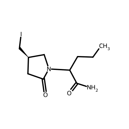 CCCC(C(N)=O)N1C[C@H](CI)CC1=O